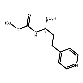 CC(C)(C)OC(=O)N[C@@H](CCc1ccncc1)C(=O)O